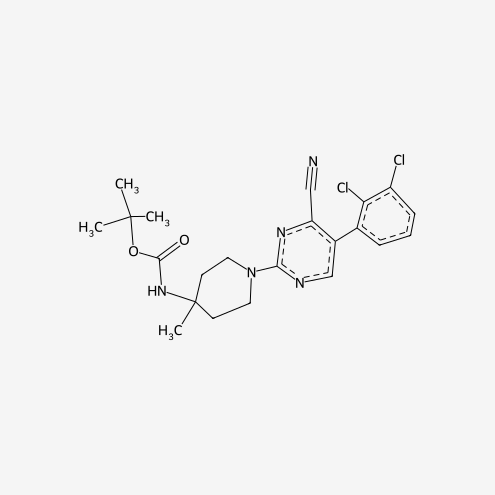 CC1(NC(=O)OC(C)(C)C)CCN(c2ncc(-c3cccc(Cl)c3Cl)c(C#N)n2)CC1